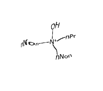 CCCCCCCCC[N+](O)(CCC)CCCCCCCCC